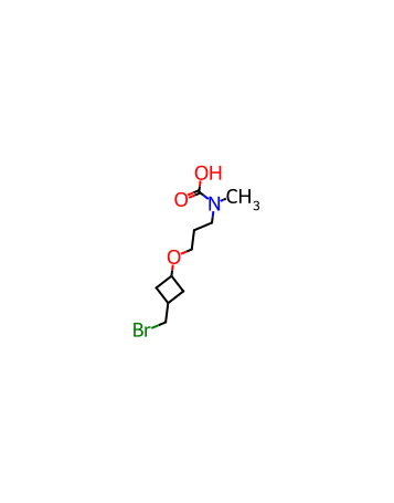 CN(CCCOC1CC(CBr)C1)C(=O)O